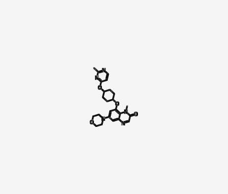 Cc1nccc(OC2CCC(Oc3cc(N4CCOCC4)cc4ncc(=O)n(C)c34)CC2)n1